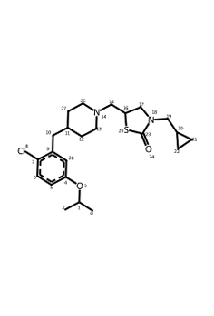 CC(C)Oc1ccc(Cl)c(CC2CCN(CC3CN(CC4CC4)C(=O)S3)CC2)c1